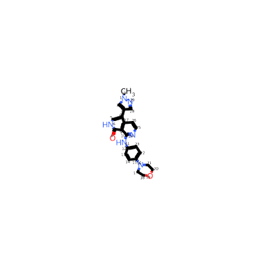 Cn1cc(-c2c[nH]c(=O)c3c(Nc4ccc(N5CCOCC5)cc4)nccc23)cn1